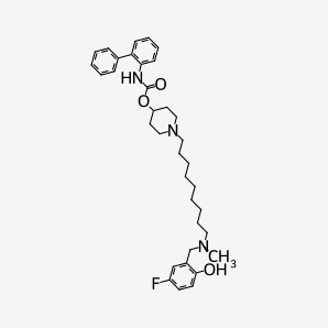 CN(CCCCCCCCCN1CCC(OC(=O)Nc2ccccc2-c2ccccc2)CC1)Cc1cc(F)ccc1O